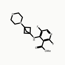 COC(=O)c1c(F)ncc(F)c1NC12CC(N3CCOCC3)(C1)C2